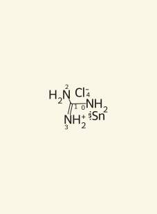 NC(N)=[NH2+].[Cl-].[Sn]